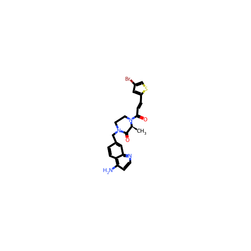 C[C@H]1C(=O)N(Cc2ccc3c(N)ccnc3c2)CCN1C(=O)/C=C/c1cc(Br)cs1